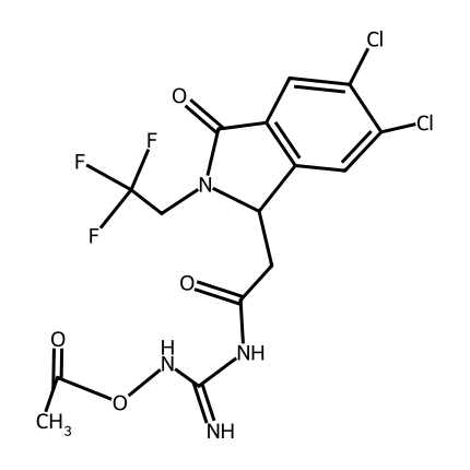 CC(=O)ONC(=N)NC(=O)CC1c2cc(Cl)c(Cl)cc2C(=O)N1CC(F)(F)F